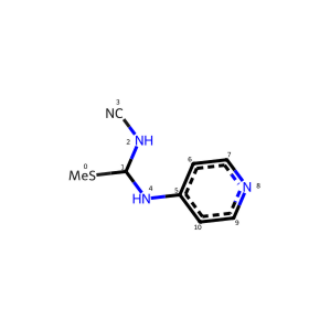 CSC(NC#N)Nc1ccncc1